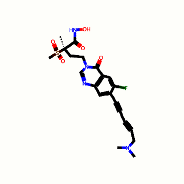 CN(C)CC#CC#Cc1cc2ncn(CC[C@](C)(C(=O)NO)S(C)(=O)=O)c(=O)c2cc1F